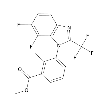 COC(=O)c1cccc(-n2c(C(F)(F)F)nc3ccc(F)c(F)c32)c1C